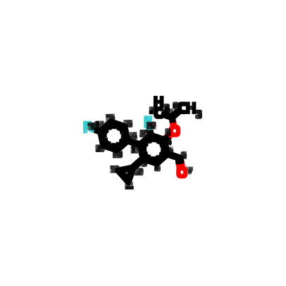 CC(C)Oc1c(C=O)cc(C2CC2)c(-c2ccc(F)cc2)c1F